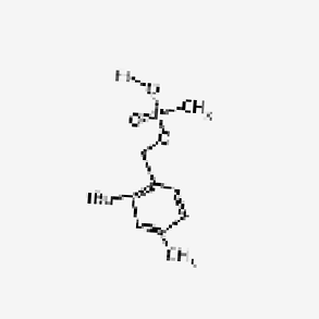 CCOP(C)(=O)OCc1ccc(C)cc1C(C)(C)C